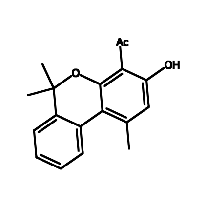 CC(=O)c1c(O)cc(C)c2c1OC(C)(C)c1ccccc1-2